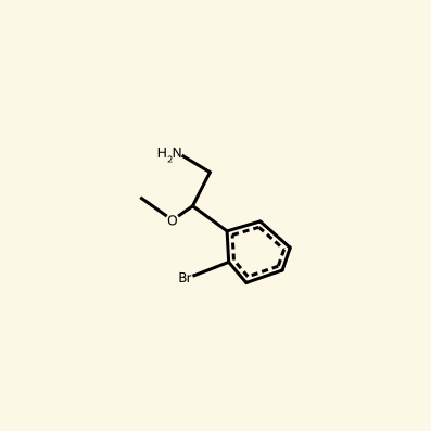 COC(CN)c1ccccc1Br